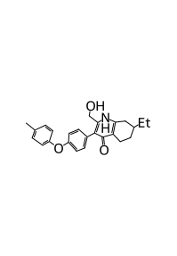 CCC1CCc2c([nH]c(CO)c(-c3ccc(Oc4ccc(C)cc4)cc3)c2=O)C1